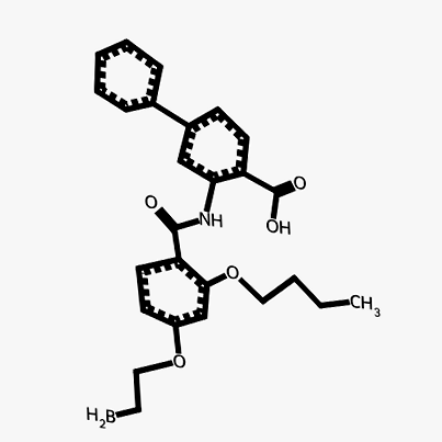 BCCOc1ccc(C(=O)Nc2cc(-c3ccccc3)ccc2C(=O)O)c(OCCCC)c1